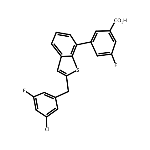 O=C(O)c1cc(F)cc(-c2cccc3cc(Cc4cc(F)cc(Cl)c4)sc23)c1